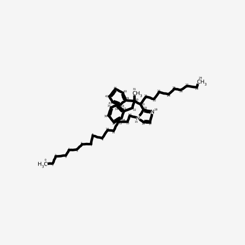 CCCCCCCCCCCCCCCn1ccnc1C(CCCCCCCCC)C(C)(Cc1ccccc1)c1ccccc1